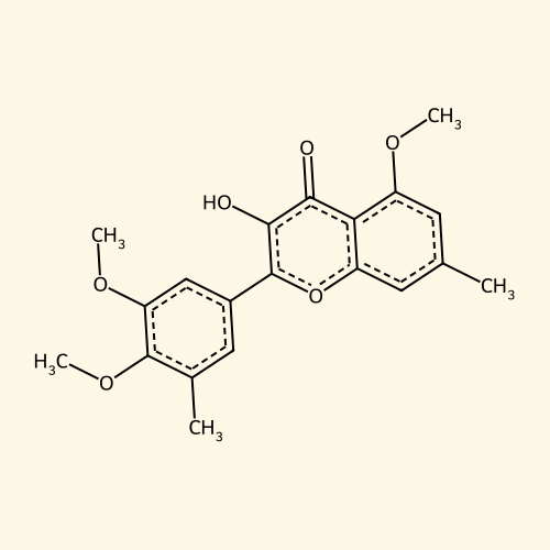 COc1cc(-c2oc3cc(C)cc(OC)c3c(=O)c2O)cc(C)c1OC